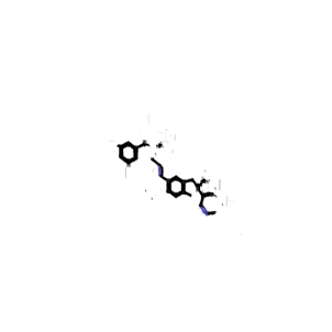 C=C/C=C\C1=C(N)NC(=O)[C@@]12Cc1cc(C#N)c(/C=C/CN(C(=O)C(C)(C)C)[C@H](C)c3cc(F)cc(F)c3)cc1C2